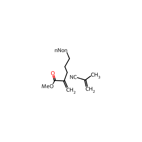 C=C(C)C#N.C=C(CCCCCCCCCCCC)C(=O)OC